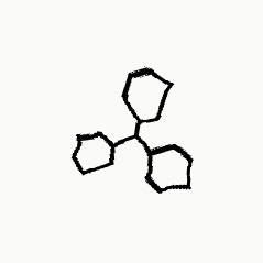 C1CCC(C(C2CCCCC2)C2CCCCC2)CC1